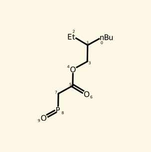 CCCCC(CC)COC(=O)CP=O